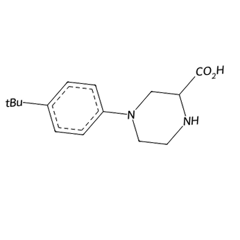 CC(C)(C)c1ccc(N2CCNC(C(=O)O)C2)cc1